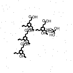 C=CCc1cc(CCC(=O)O)cc(CC=C)c1O.C=CCc1cc(CCC(=O)O)cc(CC=C)c1O.C=CCc1cc(CCC(=O)O)cc(CC=C)c1O.C=CCc1cc(CCC(=O)O)cc(CC=C)c1O.OCC(CO)(CO)CO